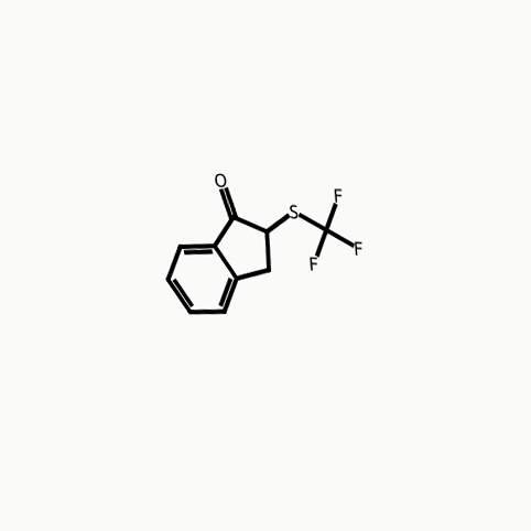 O=C1c2ccccc2CC1SC(F)(F)F